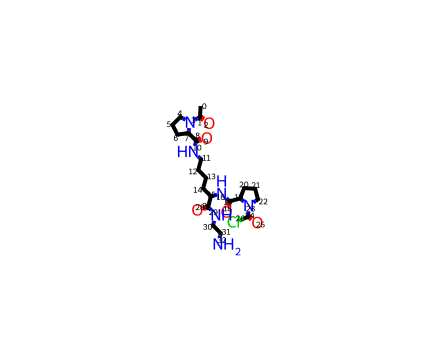 CC(=O)N1CCCC1C(=O)NCCCCC(NC(=O)C1CCCN1C(=O)Cl)C(=O)NCCN